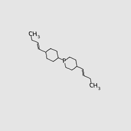 CC/C=C/C1CCC(P2CCC(/C=C/CC)CC2)CC1